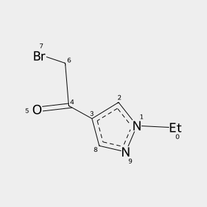 CCn1cc(C(=O)CBr)cn1